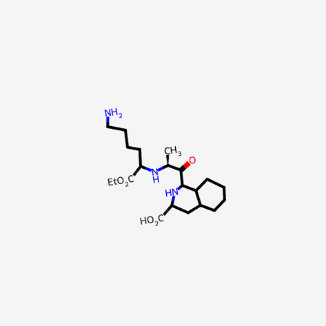 CCOC(=O)C(CCCCN)N[C@@H](C)C(=O)C1NC(C(=O)O)CC2CCCCC21